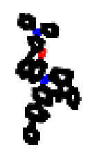 CC1(C)c2ccccc2-c2cccc(N(c3ccc(-c4ccc(-c5ccccc5)cc4)cc3)c3cc4c5c(cccc5c3)-c3ccc(N(c5ccccc5)c5ccccc5)cc3O4)c21